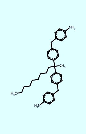 CCCCCCCCCC(C)(c1ccc(Cc2ccc(N)cc2)cc1)c1ccc(Cc2ccc(N)cc2)cc1